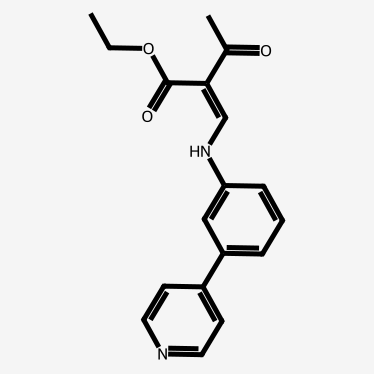 CCOC(=O)C(=CNc1cccc(-c2ccncc2)c1)C(C)=O